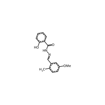 COc1ccc(C)c(/C=N/NC(=O)c2ccccc2O)c1